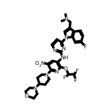 CN(C)Cc1cn(-c2ccnc(Nc3cc([N+](=O)[O-])c(N4CCC(N5CCOCC5)CC4)nc3OC(F)C(F)F)n2)c2cc(F)ccc12